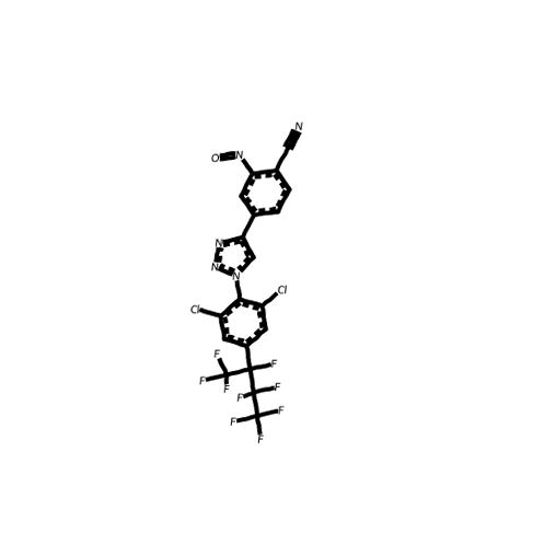 N#Cc1ccc(-c2cn(-c3c(Cl)cc(C(F)(C(F)(F)F)C(F)(F)C(F)(F)F)cc3Cl)nn2)cc1N=O